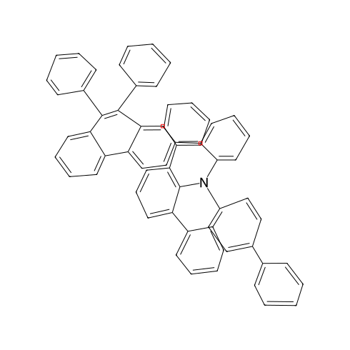 c1ccc(-c2ccc(N(c3ccccc3-c3ccc4c(c3)c(-c3ccccc3)c(-c3ccccc3)c3ccccc34)c3c(-c4ccccc4)cccc3-c3ccccc3)cc2)cc1